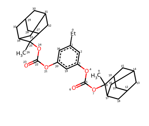 CCc1cc(OC(=O)OC2(C)C3CC4CC(C3)CC2C4)cc(OC(=O)OC2(C)C3CC4CC(C3)CC2C4)c1